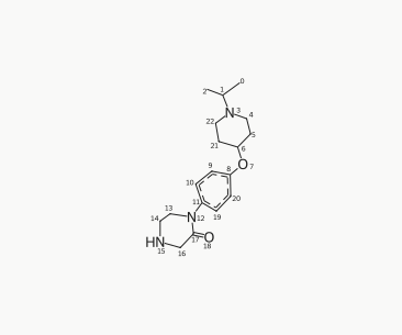 CC(C)N1CCC(Oc2ccc(N3CCNCC3=O)cc2)CC1